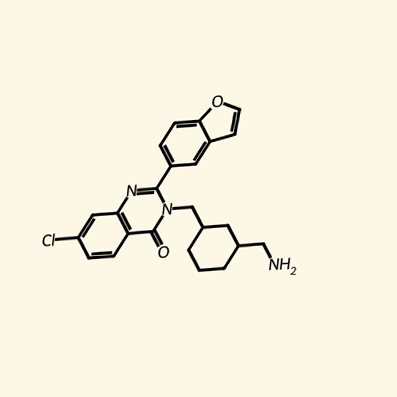 NCC1CCCC(Cn2c(-c3ccc4occc4c3)nc3cc(Cl)ccc3c2=O)C1